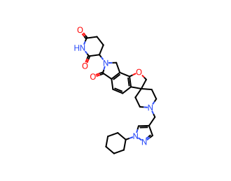 O=C1CCC(N2Cc3c(ccc4c3OCC43CCN(Cc4cnn(C5CCCCC5)c4)CC3)C2=O)C(=O)N1